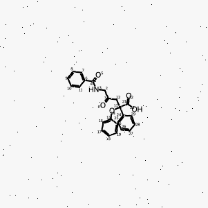 O=C(CNC(=O)c1ccccc1)CC(Oc1ccccc1)(C(=O)O)c1ccccc1